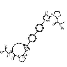 COC(=O)N[C@H]1CCCc2[nH]c(nc2-c2ccc(-c3ccc(-c4c[nH]c([C@@H]5CCCN5C(=O)[C@@H](C)C(C)C)n4)cc3)cc2)[C@@H]2CCCN2C1=O